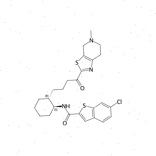 CN1CCc2nc(C(=O)CCC[C@H]3CCCC[C@@H]3NC(=O)c3cc4ccc(Cl)cc4s3)sc2C1